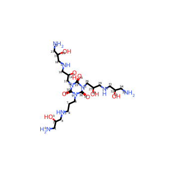 NCC(O)CNCCCn1c(=O)n(CC(O)CNCC(O)CN)c(=O)n(CC(O)CNCC(O)CN)c1=O